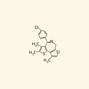 Cc1coc2c1-c1sc(C)c(C)c1C(c1ccc(Cl)cc1)=NC2